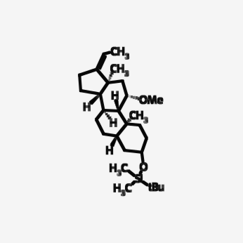 C/C=C1/CC[C@H]2[C@@H]3CC[C@H]4CC(O[Si](C)(C)C(C)(C)C)CC[C@]4(C)[C@H]3[C@@H](OC)C[C@]12C